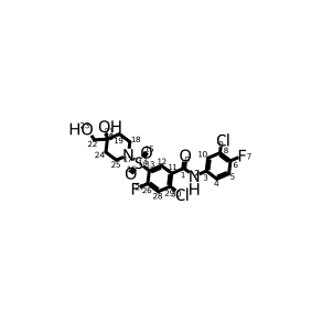 O=C(Nc1ccc(F)c(Cl)c1)c1cc(S(=O)(=O)N2CCC(O)(CO)CC2)c(F)cc1Cl